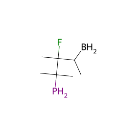 BC(C)C(C)(F)C(C)(C)P